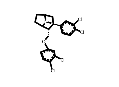 CN1C2CCC1[C@@H](COc1ccc(Cl)c(Cl)c1)[C@H](c1ccc(Cl)c(Cl)c1)C2